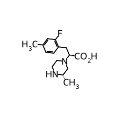 Cc1ccc(C[C@@H](C(=O)O)N2CCN[C@@H](C)C2)c(F)c1